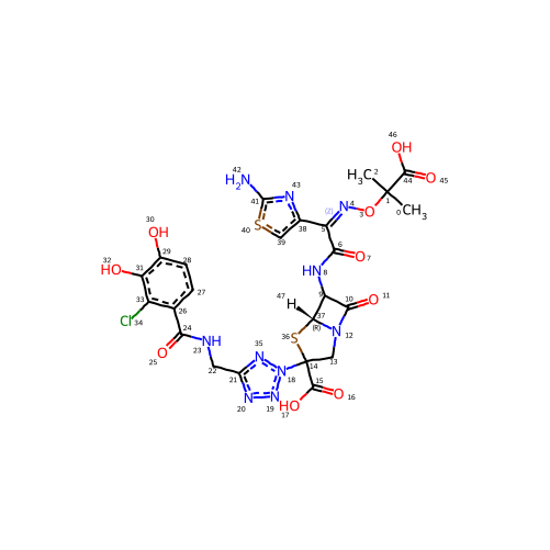 CC(C)(O/N=C(\C(=O)NC1C(=O)N2CC(C(=O)O)(n3nnc(CNC(=O)c4ccc(O)c(O)c4Cl)n3)S[C@H]12)c1csc(N)n1)C(=O)O